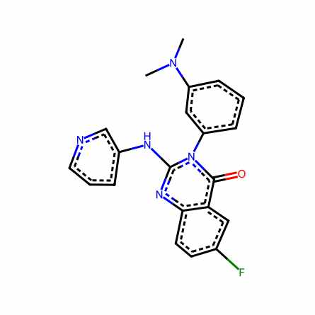 CN(C)c1cccc(-n2c(Nc3cccnc3)nc3ccc(F)cc3c2=O)c1